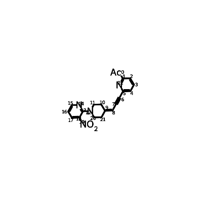 CC(=O)c1cccc(C#CC=C2CCN(c3ncccc3[N+](=O)[O-])CC2)n1